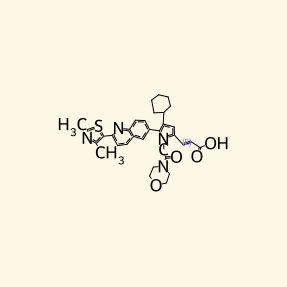 Cc1nc(C)c(-c2ccc3cc(-c4c(C5CCCCC5)cc(/C=C/C(=O)O)n4CC(=O)N4CCOCC4)ccc3n2)s1